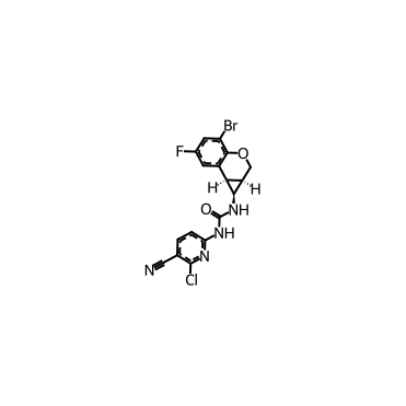 N#Cc1ccc(NC(=O)N[C@@H]2[C@@H]3COc4c(Br)cc(F)cc4[C@@H]32)nc1Cl